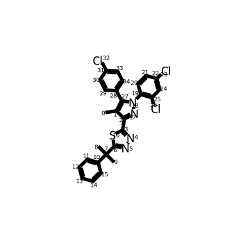 Cc1c(-c2nnc(C(C)(C)c3ccccc3)s2)nn(-c2ccc(Cl)cc2Cl)c1-c1ccc(Cl)cc1